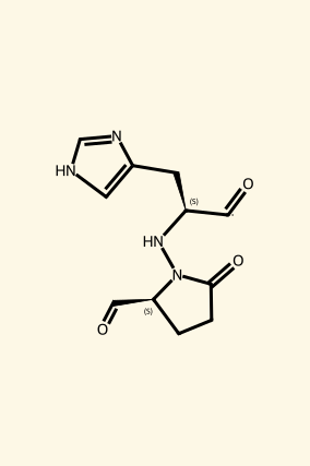 O=[C][C@H](Cc1c[nH]cn1)NN1C(=O)CC[C@H]1C=O